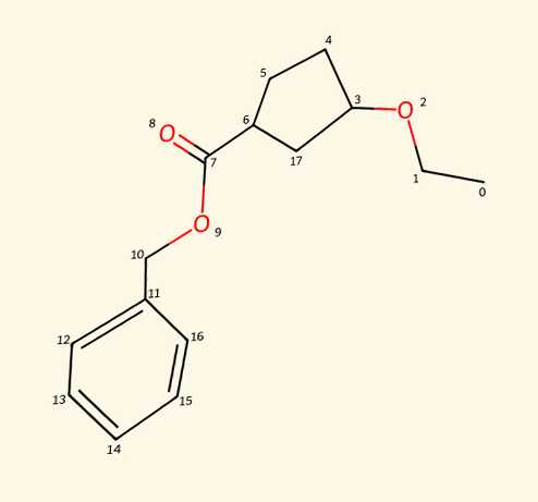 CCOC1CCC(C(=O)OCc2ccccc2)C1